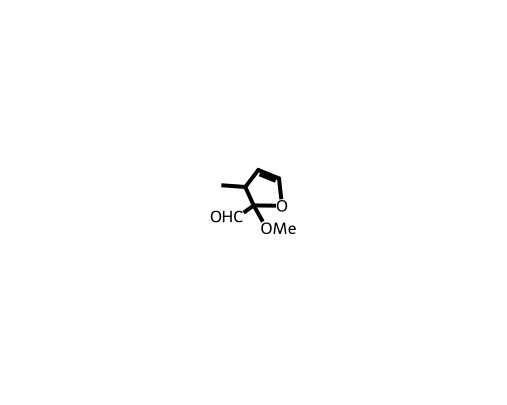 COC1(C=O)OC=CC1C